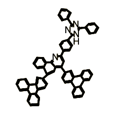 c1ccc(C2=NC(c3ccc(-c4cc(-c5ccc6c7ccccc7c7ccccc7c6c5)c5cc(-c6ccc7c8ccccc8c8ccccc8c7c6)c6ccccc6c5n4)cc3)NC(c3ccccc3)=N2)cc1